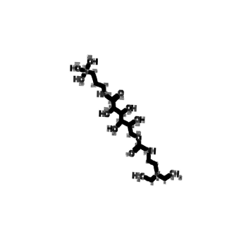 CCN(CC)CCNC(=O)OCC(O)C(O)C(O)C(O)C(=O)NCCC[Si](O)(O)O